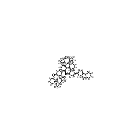 c1ccc2c(c1)Oc1ccccc1C21c2ccccc2-c2ccc(N(c3ccc(-c4ccc5c(c4)sc4ccccc45)cc3)c3cccc4c3-c3ccccc3C43c4ccccc4Oc4ccccc43)cc21